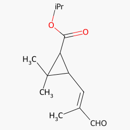 CC(C=O)=CC1C(C(=O)OC(C)C)C1(C)C